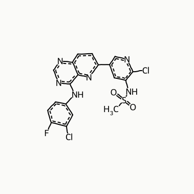 CS(=O)(=O)Nc1cc(-c2ccc3ncnc(Nc4ccc(F)c(Cl)c4)c3n2)cnc1Cl